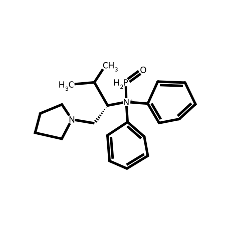 CC(C)[C@@H](CN1CCCC1)[N+]([PH2]=O)(c1ccccc1)c1ccccc1